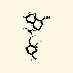 O=C(NCc1ccc(Br)cc1F)[C@H]1CC[C@H](O)c2ncccc21